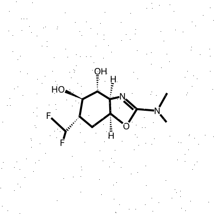 CN(C)C1=N[C@@H]2[C@@H](O)[C@H](O)[C@@H](C(F)F)C[C@@H]2O1